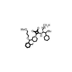 COCCCOC(c1ccccc1F)C1CCCN(c2c(N[C@@H](CNC(=O)O)C(C3CCCCC3)C(C)(C)C)c(=O)c2=O)C1